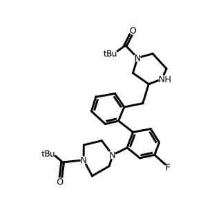 CC(C)(C)C(=O)N1CCN(c2cc(F)ccc2-c2ccccc2CC2CN(C(=O)C(C)(C)C)CCN2)CC1